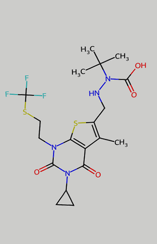 Cc1c(CNN(C(=O)O)C(C)(C)C)sc2c1c(=O)n(C1CC1)c(=O)n2CCSC(F)(F)F